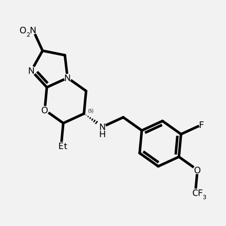 CCC1OC2=NC([N+](=O)[O-])CN2C[C@@H]1NCc1ccc(OC(F)(F)F)c(F)c1